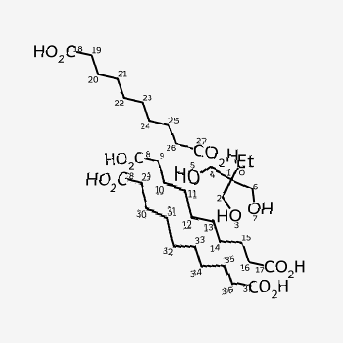 CCC(CO)(CO)CO.O=C(O)CCCCCCCCC(=O)O.O=C(O)CCCCCCCCC(=O)O.O=C(O)CCCCCCCCC(=O)O